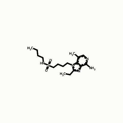 CCCCNS(=O)(=O)CCCCn1c(CC)nc2c(N)ncc(C)c21